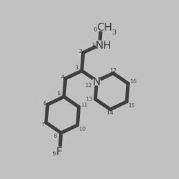 CNCC(CC1CCC(F)CC1)N1CCCCC1